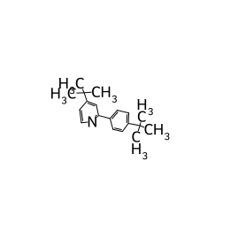 CC(C)(C)c1ccc(-c2cc(C(C)(C)C)ccn2)cc1